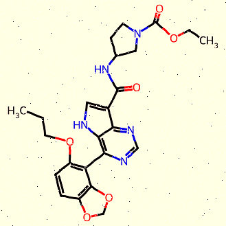 CCCOc1ccc2c(c1-c1ncnc3c(C(=O)NC4CCN(C(=O)OCC)C4)c[nH]c13)OCO2